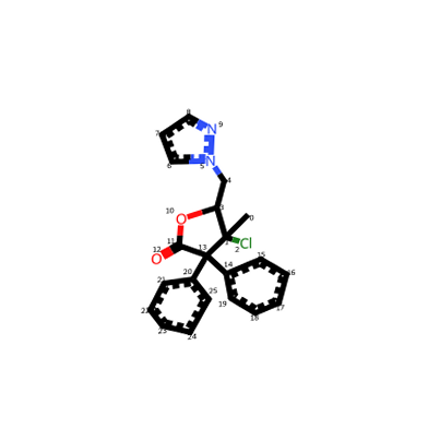 CC1(Cl)C(Cn2cccn2)OC(=O)C1(c1ccccc1)c1ccccc1